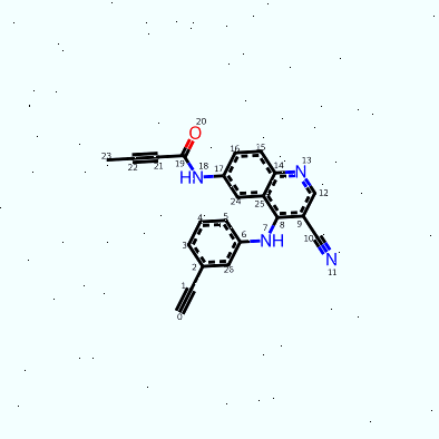 C#Cc1cccc(Nc2c(C#N)cnc3ccc(NC(=O)C#CC)cc23)c1